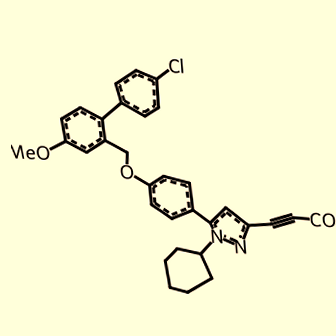 COc1ccc(-c2ccc(Cl)cc2)c(COc2ccc(-c3cc(C#CC(=O)O)nn3C3CCCCC3)cc2)c1